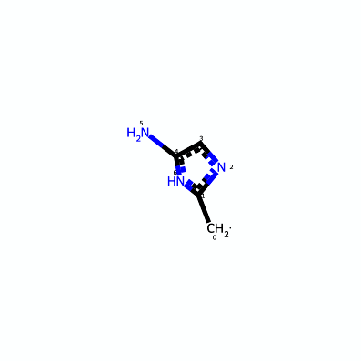 [CH2]c1ncc(N)[nH]1